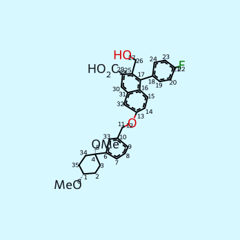 CO[C@H]1CC[C@](OC)(c2cccc(COc3ccc4c(-c5ccc(F)cc5)c(CO)c(C(=O)O)cc4c3)c2)CC1